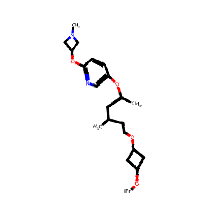 CC(CCOC1CC(OC(C)C)C1)CC(C)Oc1ccc(OC2CN(C)C2)nc1